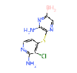 Bc1cnc(Sc2ccnc(N)c2Cl)c(N)n1